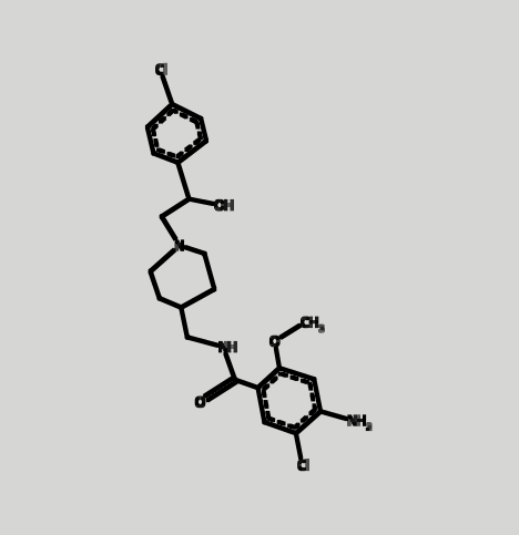 COc1cc(N)c(Cl)cc1C(=O)NCC1CCN(CC(O)c2ccc(Cl)cc2)CC1